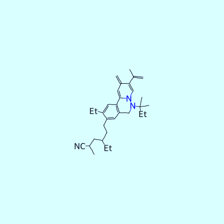 C=C(C)C1=CN2C(=CC1=C)c1cc(CC)c(CCC(CC)CC(C)C#N)cc1CN2C(C)(C)CC